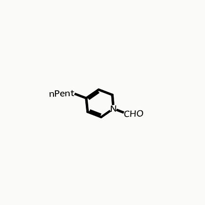 CCCCCC1=CCN(C=O)C=C1